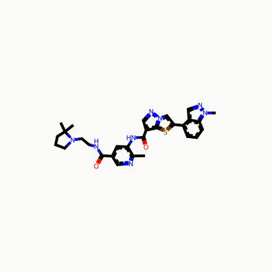 Cc1ncc(C(=O)NCCN2CCCC2(C)C)cc1NC(=O)c1cnn2cc(-c3cccc4c3cnn4C)sc12